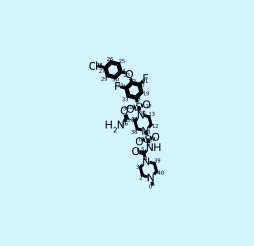 CN1CCN(C(=O)NS(=O)(=O)N2CCN(S(=O)(=O)c3cc(F)c(Oc4ccc(Cl)cc4)c(F)c3)[C@@H](C(N)=O)C2)CC1